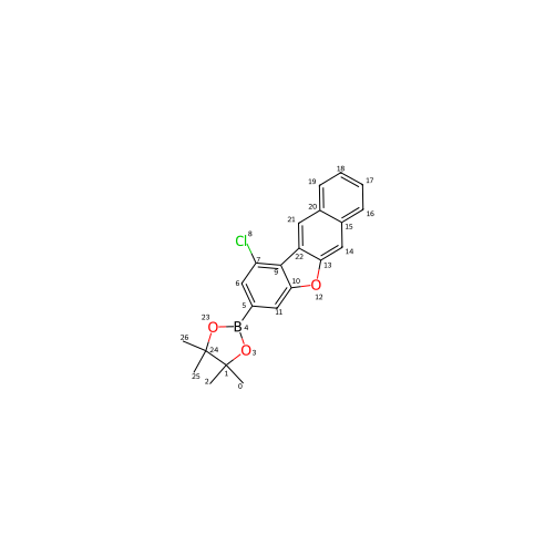 CC1(C)OB(c2cc(Cl)c3c(c2)oc2cc4ccccc4cc23)OC1(C)C